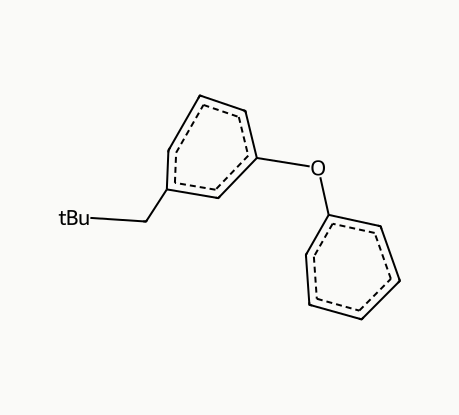 CC(C)(C)Cc1cccc(Oc2ccccc2)c1